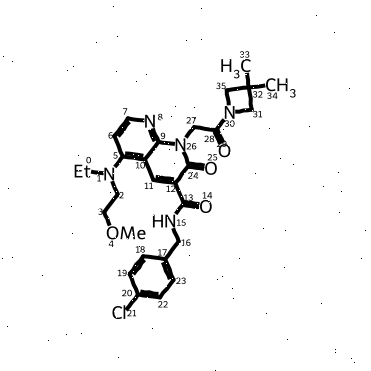 CCN(CCOC)c1ccnc2c1cc(C(=O)NCc1ccc(Cl)cc1)c(=O)n2CC(=O)N1CC(C)(C)C1